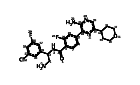 NCC(NC(=O)c1ccc(-c2nc(C3CCOCC3)cnc2N)cc1F)c1cc(F)cc(Cl)c1